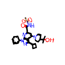 CC(C)(O)C1CCN(c2cc(C(=O)NS(C)(=O)=O)nc3c2c(C2CCC2)nn3-c2ccccc2)CC1